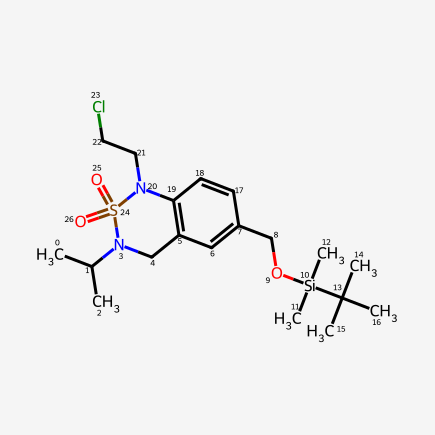 CC(C)N1Cc2cc(CO[Si](C)(C)C(C)(C)C)ccc2N(CCCl)S1(=O)=O